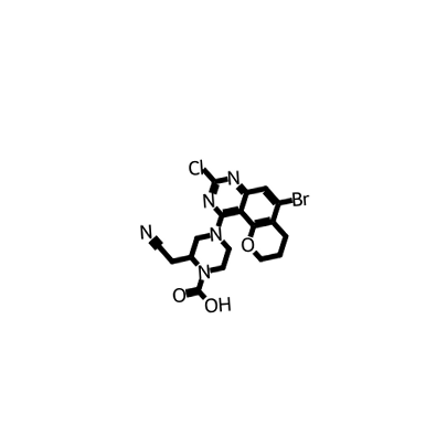 N#CCC1CN(c2nc(Cl)nc3cc(Br)c4c(c23)OCCC4)CCN1C(=O)O